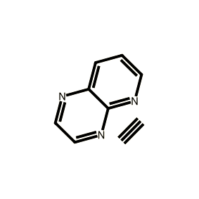 C#C.c1cnc2nccnc2c1